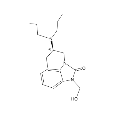 CCCN(CCC)[C@@H]1Cc2cccc3c2n(c(=O)n3CO)C1